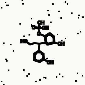 O=P(O)(O)Oc1ccc(O)cc1C(CCO)c1cccc(O)c1